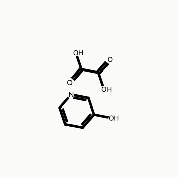 O=C(O)C(=O)O.Oc1cccnc1